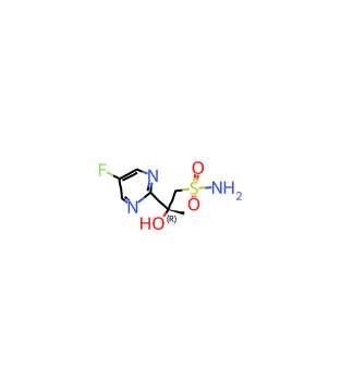 C[C@](O)(CS(N)(=O)=O)c1ncc(F)cn1